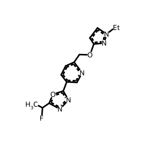 CCn1ccc(OCc2ccc(-c3nnc(C(C)F)o3)cn2)n1